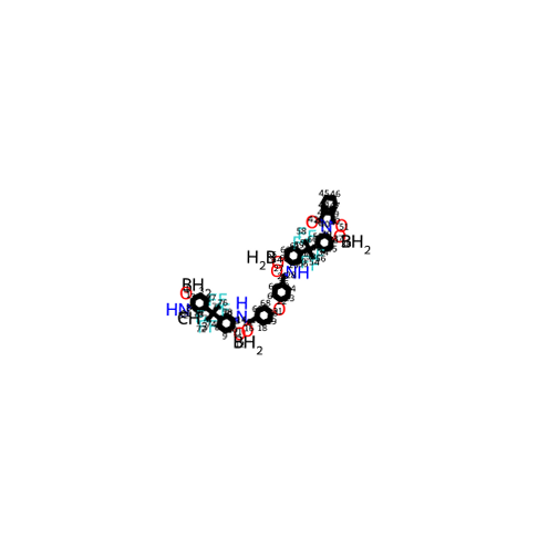 BOc1ccc(C(c2ccc(OB)c(NC(=O)c3ccc(Oc4ccc(C(=O)Nc5cc(C(c6ccc(OB)c(N7C(=O)C8C9C=CC(C9)C8C7=O)c6)(C(F)(F)F)C(F)(F)F)ccc5OB)cc4)cc3)c2)(C(F)(F)F)C(F)(F)F)cc1NC